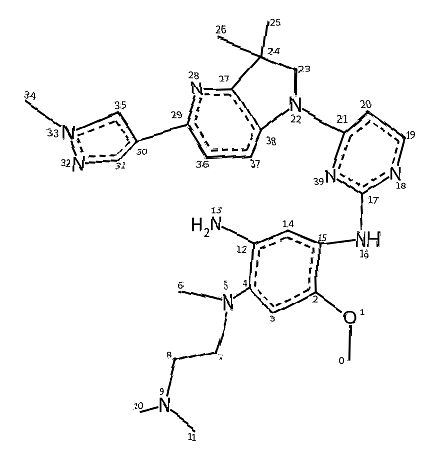 COc1cc(N(C)CCN(C)C)c(N)cc1Nc1nccc(N2CC(C)(C)c3nc(-c4cnn(C)c4)ccc32)n1